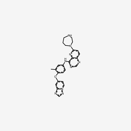 Cc1cc(Nc2ncnc3ccc(N4CCCNCC4)nc23)ccc1Oc1ccn2ncnc2c1